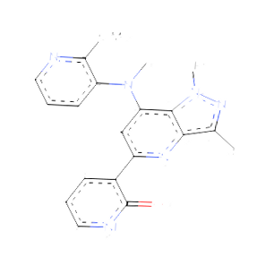 COc1ncccc1N(C)c1cc(-c2ccc[nH]c2=O)nc2c(C)nn(C(C)C)c12